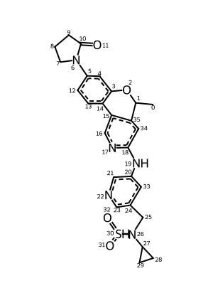 CC1Oc2cc(N3CCCC3=O)ccc2-c2cnc(Nc3cncc(CN(C4CC4)[SH](=O)=O)c3)cc21